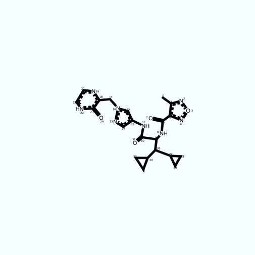 Cc1nonc1C(=O)NC(C(=O)Nc1cnn(Cc2ncc[nH]c2=O)c1)C(C1CC1)C1CC1